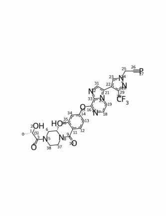 C[C@H](O)C(=O)N1CCN(C(=O)c2ccc(Oc3nccn4c(-c5cn(CC#P)nc5C(F)(F)F)cnc34)cc2O)CC1